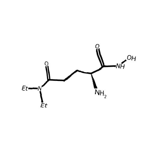 CCN(CC)C(=O)CC[C@H](N)C(=O)NO